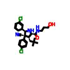 CC(C)(C)C[C@H]1[C@H](C(=O)NCCCO)N[C@H](C2C=C(Cl)C=CC2)[C@]1(C#N)c1ccc(Cl)cc1